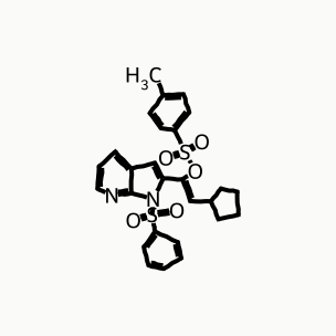 Cc1ccc(S(=O)(=O)OC(=CC2CCCC2)c2cc3cccnc3n2S(=O)(=O)c2ccccc2)cc1